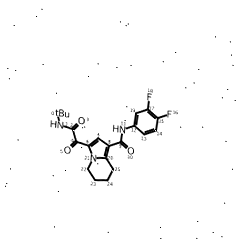 CC(C)(C)NC(=O)C(=O)c1cc(C(=O)Nc2ccc(F)c(F)c2)c2n1CCCC2